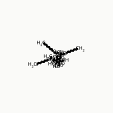 C=CCCCC=CCOCC(C)OC(=O)c1c(C(=O)O)c(C(=O)O)c(C(=O)O)c(C(=O)OC(C)COCC=CCCCC=C)c1C(=O)OC(C)COCC=CCCCC=C